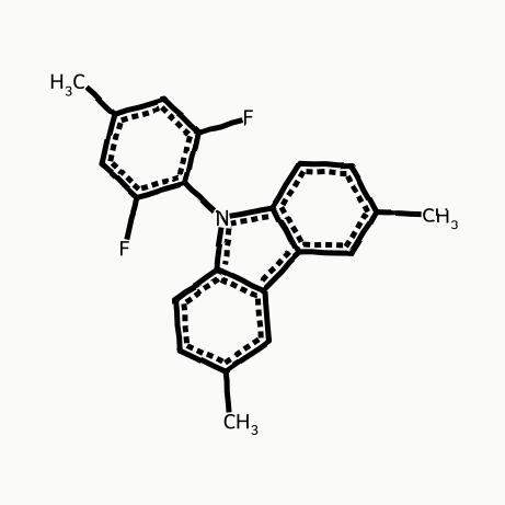 Cc1cc(F)c(-n2c3ccc(C)cc3c3cc(C)ccc32)c(F)c1